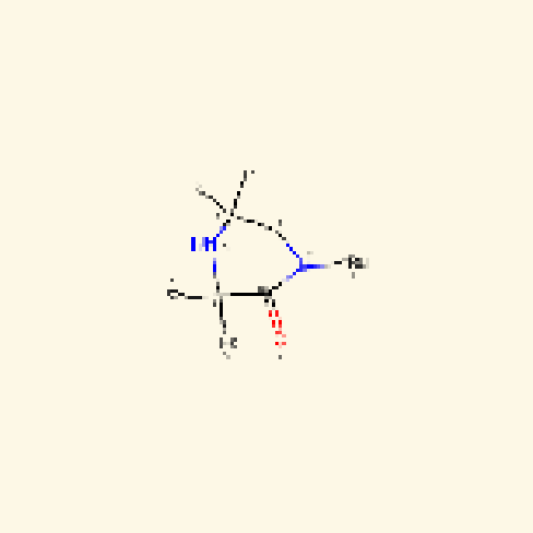 CCC1(CC)NC(C)(C)CN(C(C)(C)C)C1=O